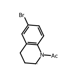 CC(=O)N1[CH]CCc2cc(Br)ccc21